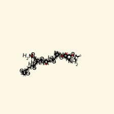 CCCN(CCC)C(=O)C1=Cc2ccc(C(=O)Nc3cncc(CNC(=O)OCc4ccc(NC(=O)C(CCCNC(N)=O)NC(=O)CNC(=O)CCCCCN5C(=O)C=CC5=O)cc4)c3)cc2N=C(N)C1